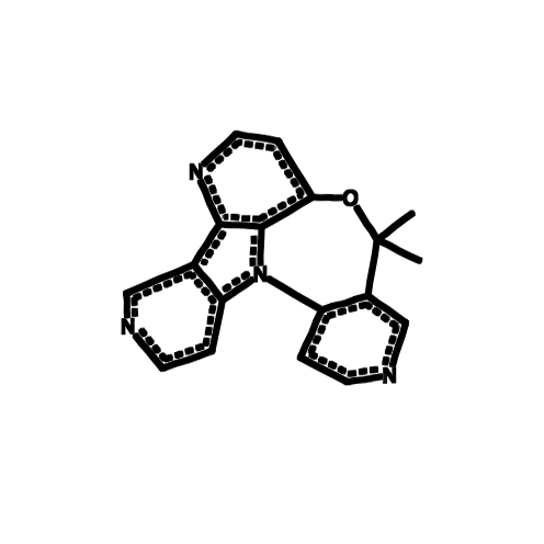 CC1(C)Oc2ccnc3c4cnccc4n(c23)-c2ccncc21